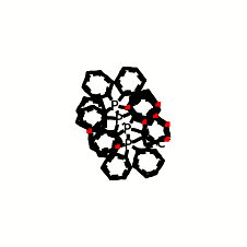 CP(c1ccccc1)(c1ccccc1)(c1ccccc1)P(c1ccccc1)(c1ccccc1)(c1ccccc1)P(c1ccccc1)(c1ccccc1)(c1ccccc1)P(c1ccccc1)(c1ccccc1)(c1ccccc1)c1ccccc1